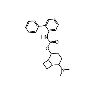 CN(C)C1CCC(OC(=O)Nc2ccccc2-c2ccccc2)C2CCC21